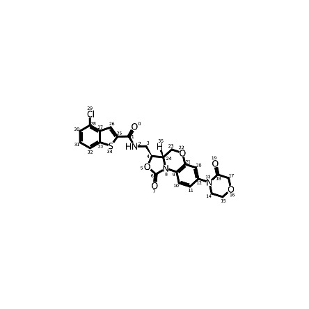 O=C(NC[C@@H]1OC(=O)N2c3ccc(N4CCOCC4=O)cc3OC[C@@H]12)c1cc2c(Cl)cccc2s1